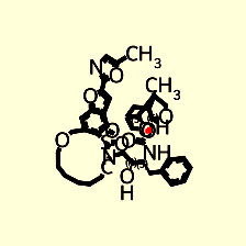 Cc1cnc(-c2cc3cc4c(cc3o2)COCCCCCCCN(C[C@@H](O)[C@H](Cc2ccccc2)NC(=O)O[C@H]2C3CO[C@H]5OCC2(C)C5C3)S4(=O)=O)o1